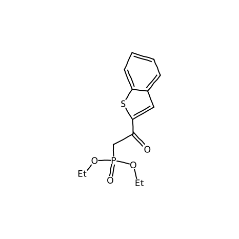 CCOP(=O)(CC(=O)c1cc2ccccc2s1)OCC